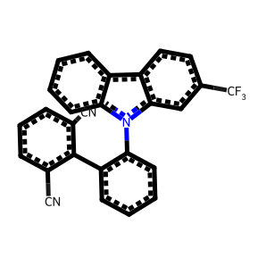 N#Cc1cccc(C#N)c1-c1ccccc1-n1c2ccccc2c2ccc(C(F)(F)F)cc21